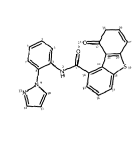 O=C(Nc1ccccc1-n1cccn1)c1cccc2sc3c(c12)C(=O)CC=C3